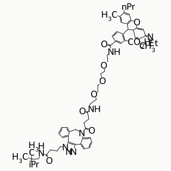 CCCc1cc2c(cc1C)C(c1ccc(C(=O)NCCOCCOCCOCCNC(=O)CCC(=O)N3Cc4ccccc4-c4c(nnn4CCCC(=O)NCC(C)(C)C(C)C)-c4ccccc43)cc1C(=O)O)C1C=C(C)/C(=N\CC)C=C1O2